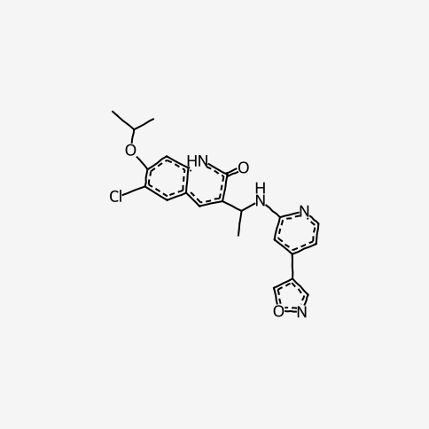 CC(C)Oc1cc2[nH]c(=O)c(C(C)Nc3cc(-c4cnoc4)ccn3)cc2cc1Cl